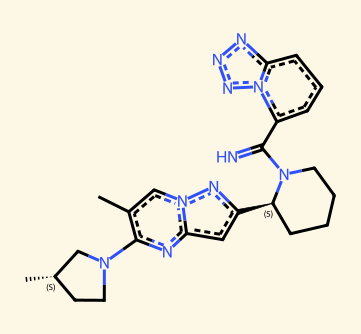 Cc1cn2nc([C@@H]3CCCCN3C(=N)c3cccc4nnnn34)cc2nc1N1CC[C@H](C)C1